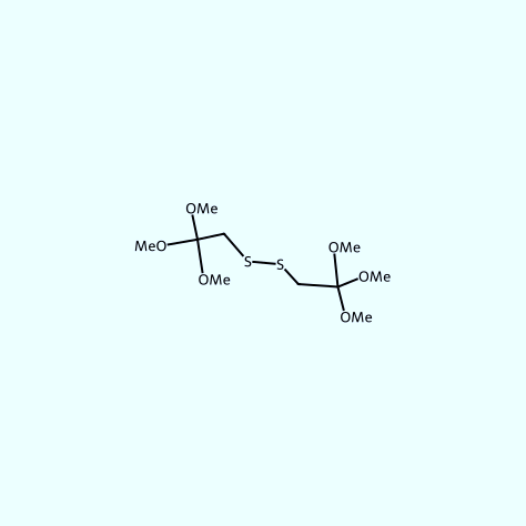 COC(CSSCC(OC)(OC)OC)(OC)OC